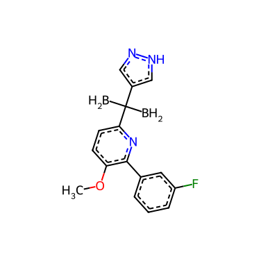 BC(B)(c1cn[nH]c1)c1ccc(OC)c(-c2cccc(F)c2)n1